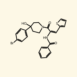 O=C(NC(=Cc1cccs1)C(=O)N1CCC(O)(c2ccc(Br)cc2)CC1)c1ccccc1